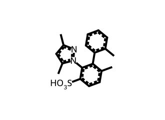 Cc1cc(C)n(-c2c(S(=O)(=O)O)ccc(C)c2-c2ccccc2C)n1